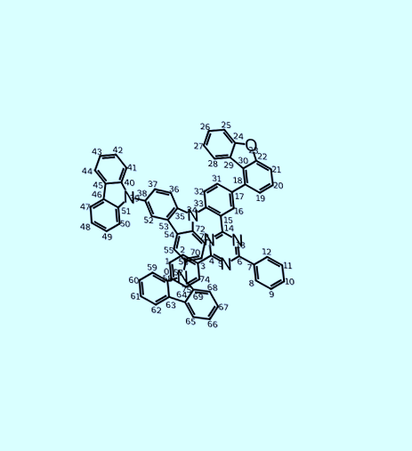 c1ccc(-c2nc(-c3ccccc3)nc(-c3cc(-c4cccc5oc6ccccc6c45)ccc3-n3c4ccc(-n5c6ccccc6c6ccccc65)cc4c4cc(-n5c6ccccc6c6ccccc65)ccc43)n2)cc1